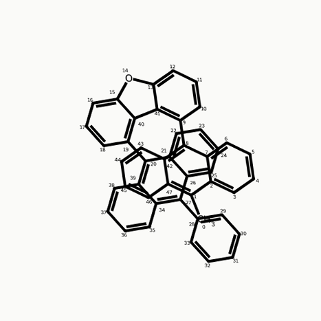 Cc1c2ccccc2c(-c2cccc3oc4cccc(-c5c6ccccc6c(-c6ccccc6)c6ccccc56)c4c23)c2ccccc12